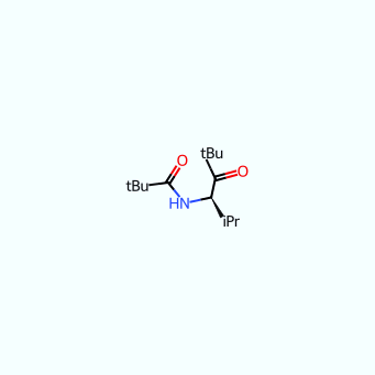 CC(C)[C@@H](NC(=O)C(C)(C)C)C(=O)C(C)(C)C